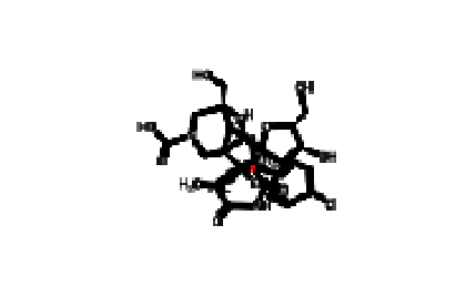 Cc1cn([C@@]2([C@@H]3O[C@@]4(CO)CN(C(=O)O)C[C@]3(C(C)(C)C)[C@@H]4OCc3ccc(Cl)cc3)C[C@H](O)[C@@H](CO)O2)c(=O)[nH]c1=O